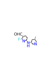 Cc1cncc(Nc2ccc(C=O)c(F)n2)c1